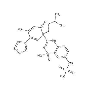 CC(C)CC[N+]1(C2=NP(=O)(O)c3cc(NS(C)(=O)=O)ccc3N2)N=C(c2ccsc2)C(O)=CC1=O